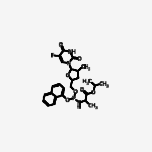 CC(C)OC(=O)C(C)N[P@](OCC1CC(C)C(n2cc(F)c(=O)[nH]c2=O)O1)Oc1cccc2ccccc12